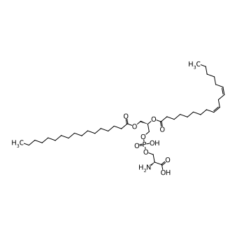 CCCCC/C=C\C/C=C\CCCCCCCC(=O)O[C@H](COC(=O)CCCCCCCCCCCCCCCC)COP(=O)(O)OC[C@H](N)C(=O)O